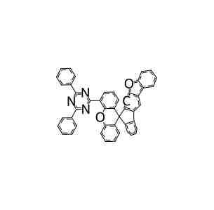 c1ccc(-c2nc(-c3ccccc3)nc(-c3cccc4c3Oc3ccccc3C43c4ccccc4-c4cc5c(cc43)oc3ccccc35)n2)cc1